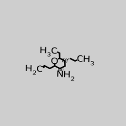 C=CCC1OC(CC)[C@H](CCC)C[C@@H]1N